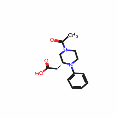 CC(=O)N1CCN(c2ccccc2)[C@H](CC(=O)O)C1